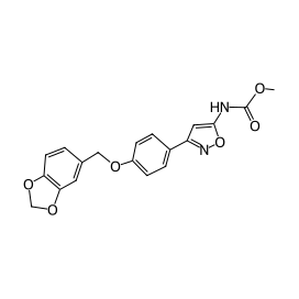 COC(=O)Nc1cc(-c2ccc(OCc3ccc4c(c3)OCO4)cc2)no1